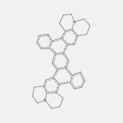 c1ccc2c(c1)c1cc3c(cc1c1cc4c5c(c21)CCCN5CCC4)c1ccccc1c1c2c4c(cc31)CCCN4CCC2